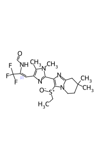 CC[S+]([O-])c1c(-c2nc(/C=C(\NC=O)C(F)(F)F)c(C)n2C)nc2n1CCC(C)(C)C2